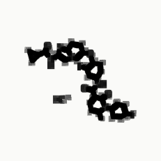 Cc1ccc(C(=O)Nc2ccc(Oc3ccc4nc(NC(=O)C5CC5)cn4c3)c(F)c2)c(=O)n1-c1ccc(F)cc1.Cl